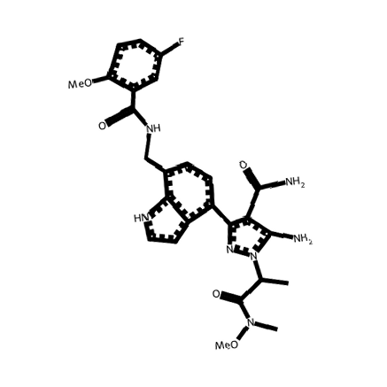 COc1ccc(F)cc1C(=O)NCc1ccc(-c2nn(C(C)C(=O)N(C)OC)c(N)c2C(N)=O)c2cc[nH]c12